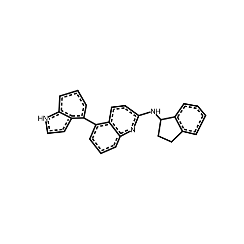 c1ccc2c(c1)CCC2Nc1ccc2c(-c3cccc4[nH]ccc34)cccc2n1